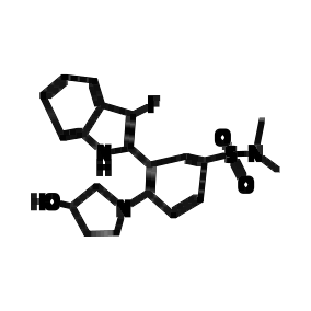 CN(C)S(=O)(=O)c1ccc(N2CCC(O)C2)c(-c2[nH]c3ccccc3c2F)c1